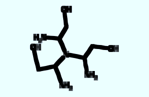 NC(CO)N(C(N)CO)C(N)CO